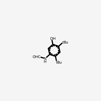 CC(C)(C)c1cc(C(C)(C)C)c(NC=O)cc1O